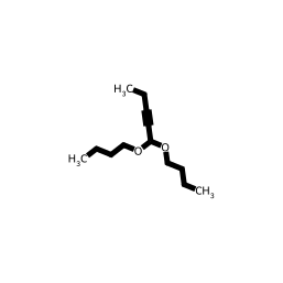 CCC#CC(OCCCC)OCCCC